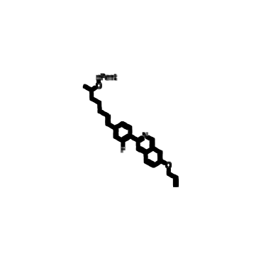 C=CCOc1ccc2cc(-c3ccc(C=CCCCC(C)OCCCCC)cc3F)ncc2c1